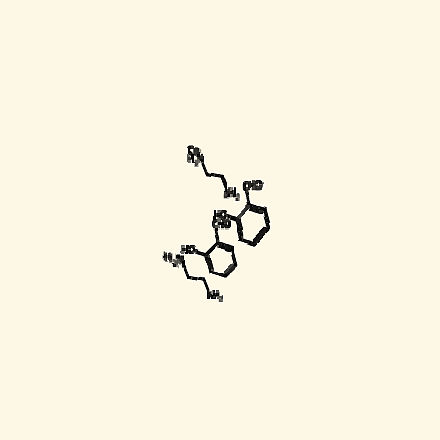 NCCN.NCCN.O=Cc1ccccc1O.O=Cc1ccccc1O.[Co]